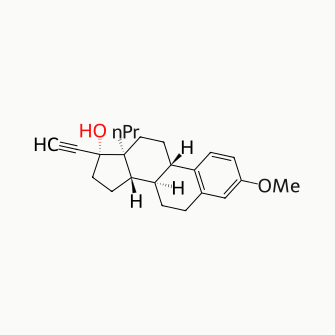 C#C[C@]1(O)CC[C@H]2[C@@H]3CCc4cc(OC)ccc4[C@H]3CC[C@@]21CCC